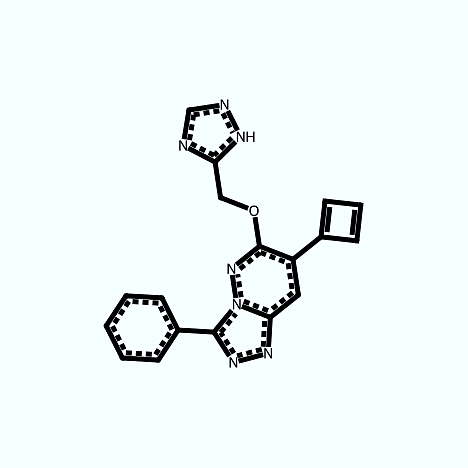 C1=CC(c2cc3nnc(-c4ccccc4)n3nc2OCc2ncn[nH]2)=C1